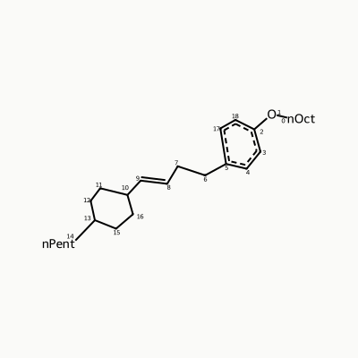 CCCCCCCCOc1ccc(CCC=CC2CCC(CCCCC)CC2)cc1